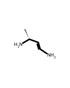 C[C@@H](N)/C=C/N